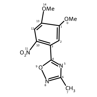 COc1cc(-c2nc(C)no2)c([N+](=O)[O-])cc1OC